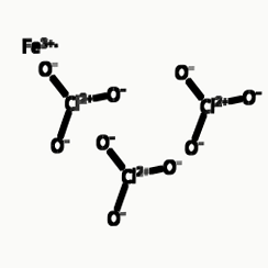 [Fe+3].[O-][Cl+2]([O-])[O-].[O-][Cl+2]([O-])[O-].[O-][Cl+2]([O-])[O-]